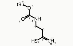 C=C(S)CCNC(=O)OC(C)(C)C